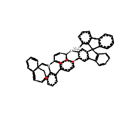 Cc1cccc2c1C1(C3=C(C=CCC3)c3cc4c(cc31)OC1C=CC(N(CC35C=CC=CC3=CC=CC5)c3ccccc3-c3ccccc3)=CC1O4)c1ccccc1-2